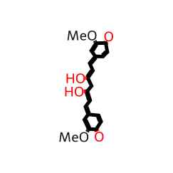 COC1=CC(=CC=C(O)CC(O)=CC=C2C=CC(=O)C(OC)=C2)C=CC1=O